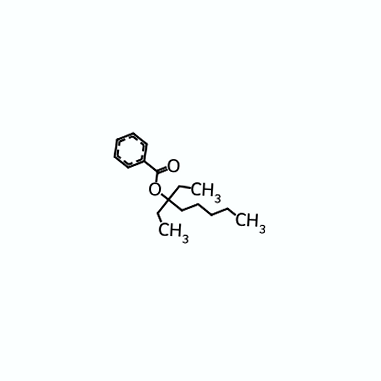 CCCCCC(CC)(CC)OC(=O)c1ccccc1